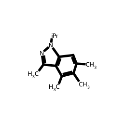 Cc1cc2c(c(C)nn2C(C)C)c(C)c1C